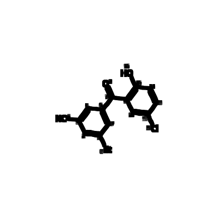 CCc1cc(C#N)cc(C(=O)c2cc(Cl)ccc2O)c1